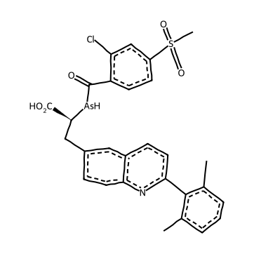 Cc1cccc(C)c1-c1ccc2cc(C[C@H]([AsH]C(=O)c3ccc(S(C)(=O)=O)cc3Cl)C(=O)O)ccc2n1